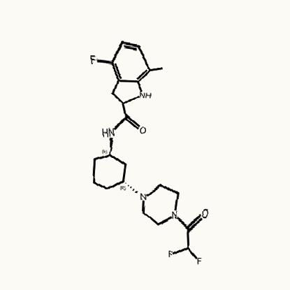 Cc1ccc(F)c2c1NC(C(=O)N[C@@H]1CCC[C@@H](N3CCN(C(=O)C(F)F)CC3)C1)C2